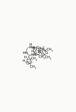 C1CNCCNNCCN1.CC(=O)OC(C)(C)C.CC(=O)OC(C)(C)C.CC(=O)OC(C)(C)C